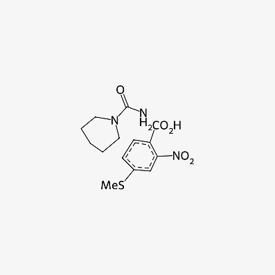 CSc1ccc(C(=O)O)c([N+](=O)[O-])c1.NC(=O)N1CCCCC1